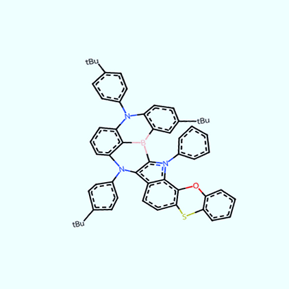 CC(C)(C)c1ccc(N2c3ccc(C(C)(C)C)cc3B3c4c2cccc4N(c2ccc(C(C)(C)C)cc2)c2c3n(-c3ccccc3)c3c4c(ccc23)Sc2ccccc2O4)cc1